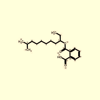 CCC(CCCCCCC(C)C)OC(=O)c1ccccc1C(=O)O